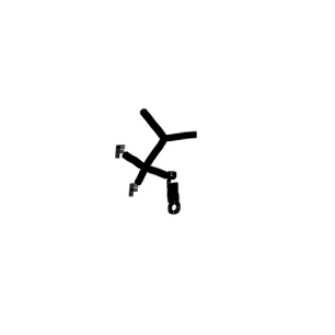 CC(C)C(F)(F)P=O